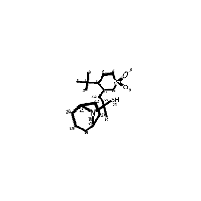 CC(C)(C)C1CCS(=O)(=O)CC1CC(C)(S)N1C2CCCC1CC2